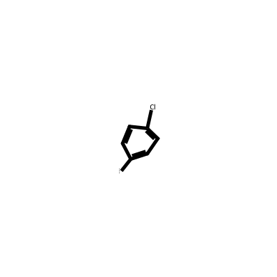 [C]c1ccc(Cl)cc1